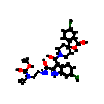 CN(CCNC(=O)c1[nH]c2cc(Cl)ccc2c1C(=O)N1CCC2(CC1)OC(=O)c1cc(F)ccc12)C(=O)OC(C)(C)C